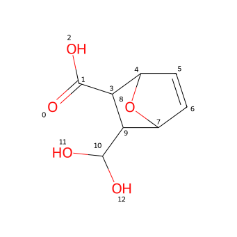 O=C(O)C1C2C=CC(O2)C1C(O)O